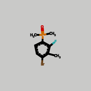 Cc1c(Br)ccc(P(C)(C)=O)c1F